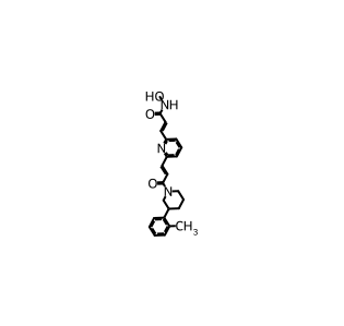 Cc1ccccc1C1CCCN(C(=O)C=Cc2cccc(C=CC(=O)NO)n2)C1